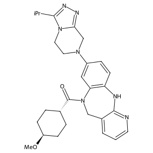 CO[C@H]1CC[C@H](C(=O)N2Cc3cccnc3Nc3ccc(N4CCn5c(nnc5C(C)C)C4)cc32)CC1